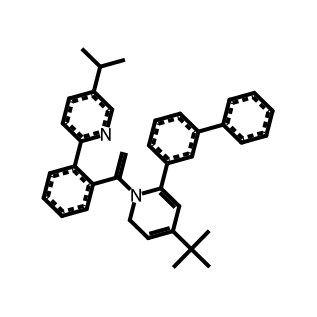 C=C(c1ccccc1-c1ccc(C(C)C)cn1)N1CC=C(C(C)(C)C)C=C1c1cccc(-c2ccccc2)c1